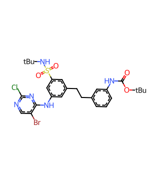 CC(C)(C)NS(=O)(=O)c1cc(CCc2cccc(NC(=O)OC(C)(C)C)c2)cc(Nc2nc(Cl)ncc2Br)c1